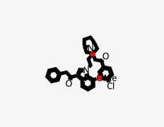 COc1cccc2c(C(=O)Cc3ccccc3)cn(CCCN3C4CCC3CC(CC(=O)c3ccc(Cl)cc3)C4)c12